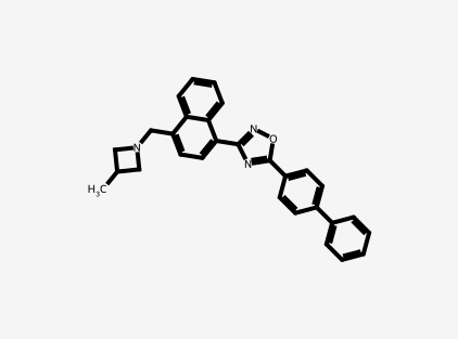 CC1CN(Cc2ccc(-c3noc(-c4ccc(-c5ccccc5)cc4)n3)c3ccccc23)C1